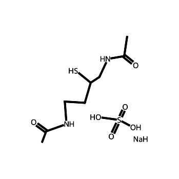 CC(=O)NCCC(S)CNC(C)=O.O=S(=O)(O)O.[NaH]